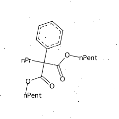 CCCCCOC(=O)C(CCC)(C(=O)OCCCCC)c1ccccc1